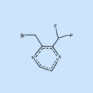 FC(F)c1nccnc1CBr